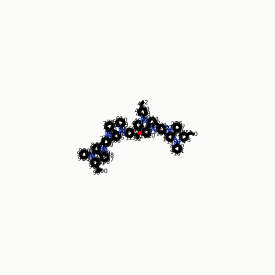 CCc1ccc(N(c2ccccc2)c2ccc3c4cc5c(cc4n4c6ccccc6c2c34)c2ccc(N(c3ccc(CC)cc3)c3cccc(CC(C)c4ccc(N(c6ccccc6)c6ccc7c8cc9c(cc8n8c%10ccccc%10c6c78)c6ccc(N(c7ccccc7)c7ccc(C(C)C)cc7)c7c8ccccc8n9c67)cc4)c3)c3c4ccccc4n5c23)cc1